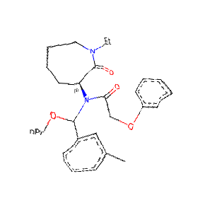 CCCOC(c1cccc(C)c1)N(C(=O)COc1ccccc1)[C@H]1CCCCN(CC)C1=O